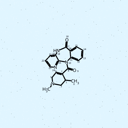 CC1CN(C)CC=C1C(=O)N1c2ccccc2C(=O)Nc2cccnc21